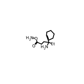 CCC(N)(CCC(=O)ON)C1=CCCCC1